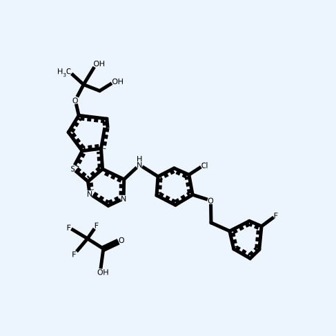 CC(O)(CO)Oc1ccc2c(c1)sc1ncnc(Nc3ccc(OCc4cccc(F)c4)c(Cl)c3)c12.O=C(O)C(F)(F)F